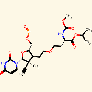 C#C[C@]1(C)[C@H](CCOCC[C@H](NC(=O)OC)C(=O)OC(C)C)[C@@H](COP=O)O[C@H]1n1ccc(=O)[nH]c1=O